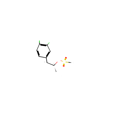 C[C@H](c1ccc(Cl)c(Cl)c1)[C@@H](OS(C)(=O)=O)C(=O)O